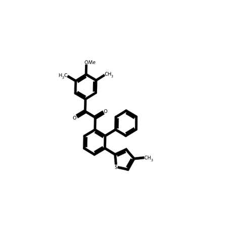 COc1c(C)cc(C(=O)C(=O)c2cccc(-c3cc(C)cs3)c2-c2ccccc2)cc1C